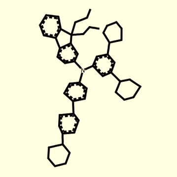 CCCC1(CCC)c2ccccc2-c2ccc(N(c3ccc(-c4ccc(C5CCCCC5)cc4)cc3)c3cc(C4CCCCC4)cc(C4CCCCC4)c3)cc21